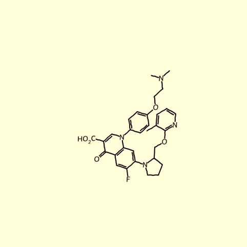 Cc1cccnc1OCC1CCCN1c1cc2c(cc1F)c(=O)c(C(=O)O)cn2-c1ccc(OCCN(C)C)cc1